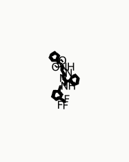 O=S(=O)(NCc1nc(NCc2cccc(C(F)(F)F)c2)c2ccccc2n1)c1ccccc1